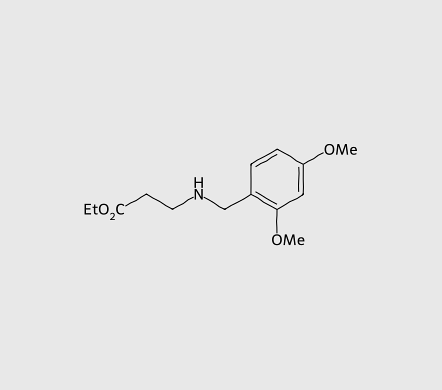 CCOC(=O)CCNCc1ccc(OC)cc1OC